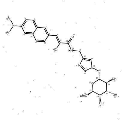 CCCN(CCC)c1ccc2cc(/C=C(\C#N)C(=O)NCc3cn(C[C@H]4O[C@H](OC)[C@H](O)[C@@H](O)[C@@H]4O)nn3)ccc2c1